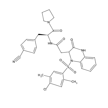 Cc1cc(S(=O)(=O)N2c3ccccc3NC(=O)C2CC(=O)N[C@@H](Cc2ccc(C#N)cc2)C(=O)N2CCCC2)c(C)cc1Cl